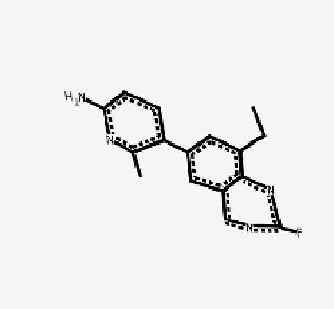 CCc1cc(-c2ccc(N)nc2C)cc2cnc(F)nc12